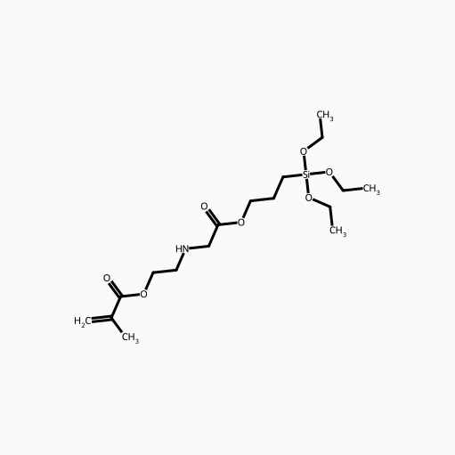 C=C(C)C(=O)OCCNCC(=O)OCCC[Si](OCC)(OCC)OCC